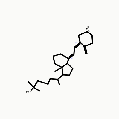 C=C1CC[C@@H](O)C/C1=C/C=C1\CCCC2(C)C1CCC2C(C)CCCC(C)(C)O